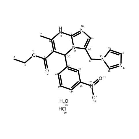 CCOC(=O)C1=C(C)Nc2ncc(Cn3ccnc3)n2C1c1cccc([N+](=O)[O-])c1.Cl.O